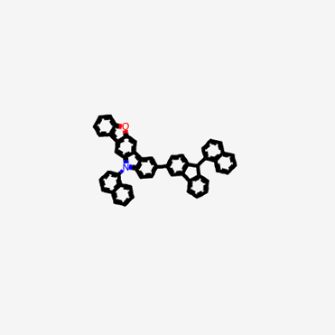 c1ccc2c(c1)-c1cc(-c3ccc4c(c3)c3cc5oc6ccccc6c5cc3n4-c3cccc4ccccc34)ccc1C2c1cccc2ccccc12